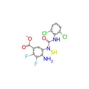 COC(=O)c1cc(N(S)C(=O)Nc2c(Cl)cccc2Cl)c(N)c(F)c1F